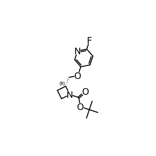 CC(C)(C)OC(=O)N1CC[C@@H]1COc1ccc(F)nc1